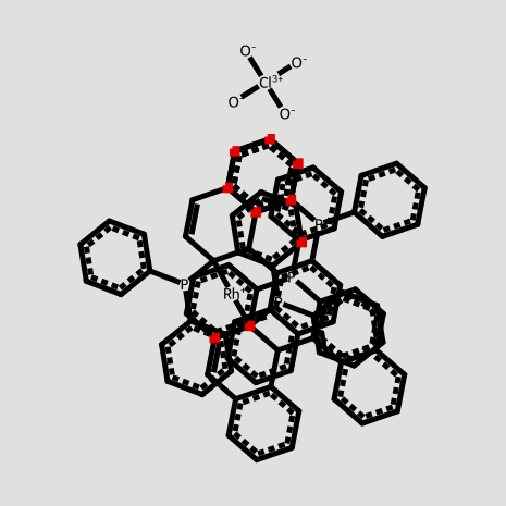 C1=C[C]([Rh+][C]2(P(c3ccccc3)c3ccccc3)C=Cc3ccccc3C2c2c(P(c3ccccc3)c3ccccc3)ccc3ccccc23)(P(c2ccccc2)c2ccccc2)C(c2c(P(c3ccccc3)c3ccccc3)ccc3ccccc23)c2ccccc21.[O-][Cl+3]([O-])([O-])[O-]